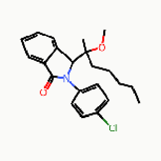 CCCCCC(C)(OC)C1c2ccccc2C(=O)N1c1ccc(Cl)cc1